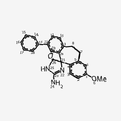 COc1ccc2c(c1)CCc1ccc(-c3ccccc3)cc1C21N=C(N)NC1=O